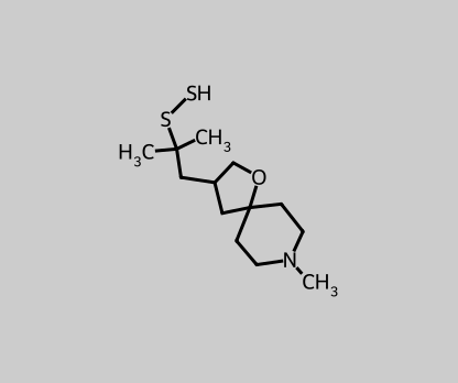 CN1CCC2(CC1)CC(CC(C)(C)SS)CO2